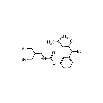 CCC(c1cccc(OC(=O)NCC(CC(C)=O)CC(C)C)c1)C(C)CN(C)C